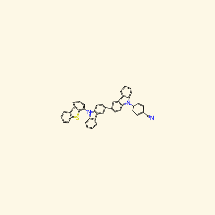 N#CC1=CCC(n2c3ccccc3c3cc(-c4ccc5c(c4)c4ccccc4n5-c4cccc5c4sc4ccccc45)ccc32)C=C1